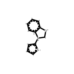 c1csc(N2COc3ccccc32)c1